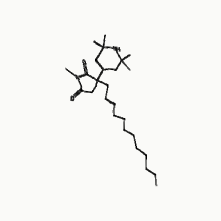 CCCCCCCCCCCCC1(C2CC(C)(C)NC(C)(C)C2)CC(=O)N(C)C1=O